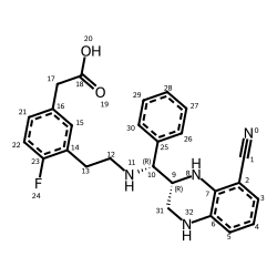 N#Cc1cccc2c1N[C@@H]([C@H](NCCc1cc(CC(=O)O)ccc1F)c1ccccc1)CN2